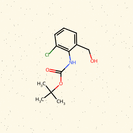 CC(C)(C)OC(=O)Nc1c(Cl)cccc1CO